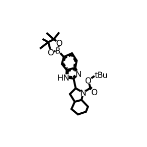 CC(C)(C)OC(=O)N1C(c2nc3ccc(B4OC(C)(C)C(C)(C)O4)cc3[nH]2)CC2CCCCC21